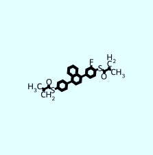 C=C(C)C(=O)Sc1ccc(-c2ccc(-c3ccc(SC(=O)C(=C)C)c(F)c3)c3ccccc23)cc1